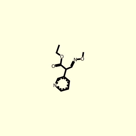 CCOC(=O)C(C=NOC)c1cccnc1